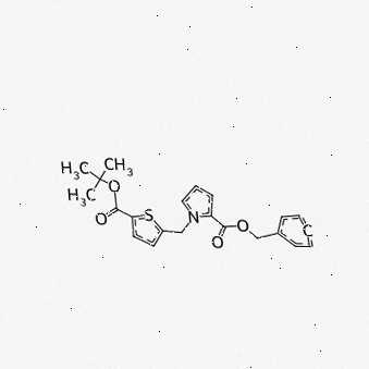 CC(C)(C)OC(=O)c1ccc(Cn2cccc2C(=O)OCc2ccccc2)s1